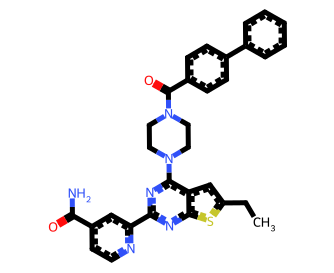 CCc1cc2c(N3CCN(C(=O)c4ccc(-c5ccccc5)cc4)CC3)nc(-c3cc(C(N)=O)ccn3)nc2s1